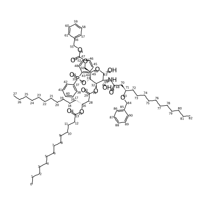 CCCCCCCCCCCCCC(=O)O[C@H](CCCCCCCCCCC)CC(=O)O[C@H]1[C@H](OP(=O)(c2ccccc2)c2ccccc2)[C@@H](COC(=O)OCc2ccccc2)O[C@H](O)[C@@]1(O)NC(=O)C[C@@H](CCCCCCCCCCC)OCc1ccccc1